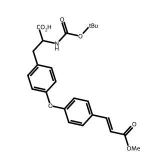 COC(=O)/C=C/c1ccc(Oc2ccc(CC(NC(=O)OC(C)(C)C)C(=O)O)cc2)cc1